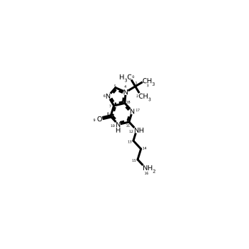 CC(C)(C)n1cnc2c(=O)[nH]c(NCCCN)nc21